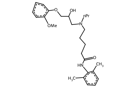 CCCN(CCCCC(=O)Nc1c(C)cccc1C)CC(O)COc1ccccc1OC